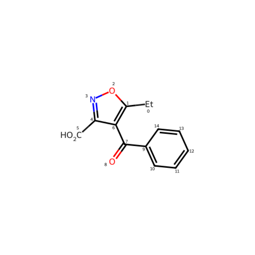 CCc1onc(C(=O)O)c1C(=O)c1ccccc1